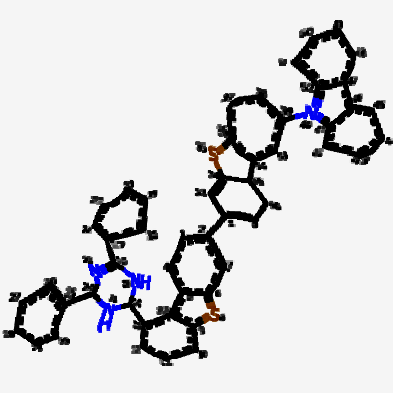 C1=C(c2ccc3c(c2)sc2cccc(C4NC(c5ccccc5)=NC(c5ccccc5)N4)c23)C=C2Sc3ccc(-n4c5ccccc5c5ccccc54)cc3C2C1